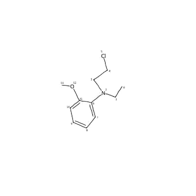 CCN(CCCl)c1ccccc1OC